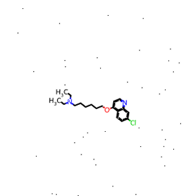 CCN(CC)CCCCCCOc1ccnc2cc(Cl)ccc12